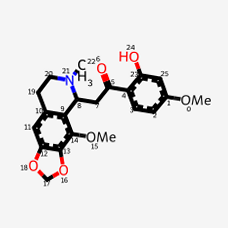 COc1ccc(C(=O)CC2c3c(cc4c(c3OC)OCO4)CCN2C)c(O)c1